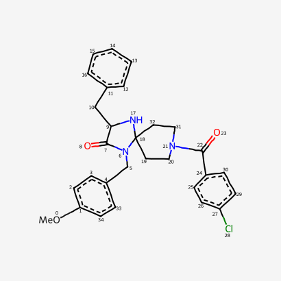 COc1ccc(CN2C(=O)C(Cc3ccccc3)NC23CCN(C(=O)c2ccc(Cl)cc2)CC3)cc1